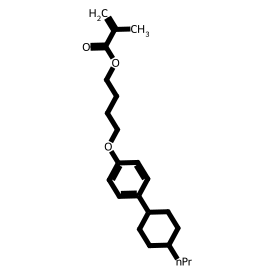 C=C(C)C(=O)OCCCCOc1ccc(C2CCC(CCC)CC2)cc1